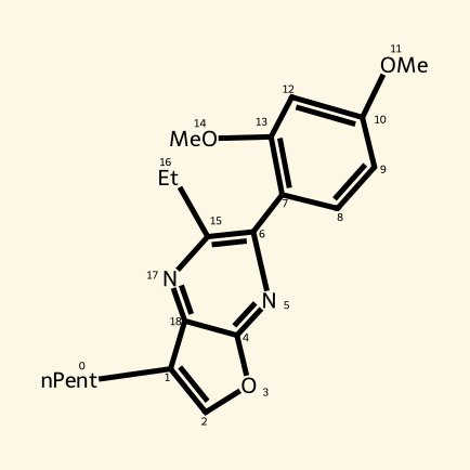 CCCCCc1coc2nc(-c3ccc(OC)cc3OC)c(CC)nc12